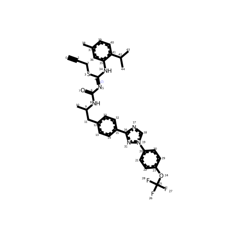 C#CCS/C(=N\C(=O)NC(C)Cc1ccc(-c2ncn(-c3ccc(OC(F)(F)F)cc3)n2)cc1)Nc1cc(C)ccc1C(C)C